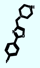 Fc1ccc(-c2nc(CN3CCNCC3)co2)cc1